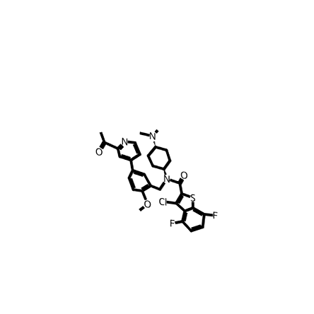 COc1ccc(-c2ccnc(C(C)=O)c2)cc1CN(C(=O)c1sc2c(F)ccc(F)c2c1Cl)[C@H]1CC[C@H](N(C)C)CC1